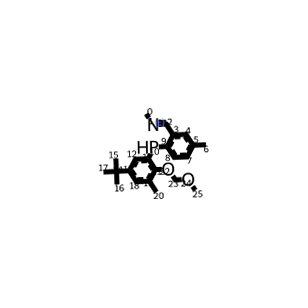 C/N=C/c1cc(C)ccc1Pc1cc(C(C)(C)C)cc(C)c1OCOC